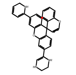 C1=CCNC(c2ccc3c(c2)Oc2cc(C4=CNCCN4)ccc2C32c3ccccc3Oc3ccccc32)=C1